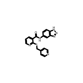 O=C(Nc1ccc2[nH]nnc2c1)c1cccnc1SCc1ccncc1